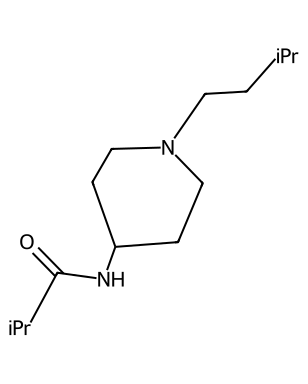 CC(C)CCN1CCC(NC(=O)C(C)C)CC1